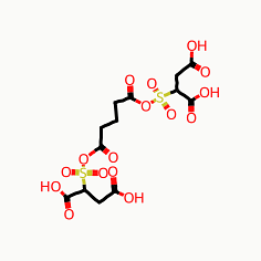 O=C(O)CC(C(=O)O)S(=O)(=O)OC(=O)CCCC(=O)OS(=O)(=O)C(CC(=O)O)C(=O)O